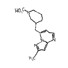 Cc1cc2nccc(CC3CCCN(C(=O)O)C3)n2n1